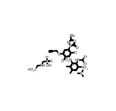 C#CCOc1cc(-n2nc(C(C)(C)C)oc2=O)c(Cl)cc1Cl.CCC(CC)Nc1c([N+](=O)[O-])cc(C)c(C)c1[N+](=O)[O-].C[S+](C)C.O=C(O)CNCP(=O)([O-])O